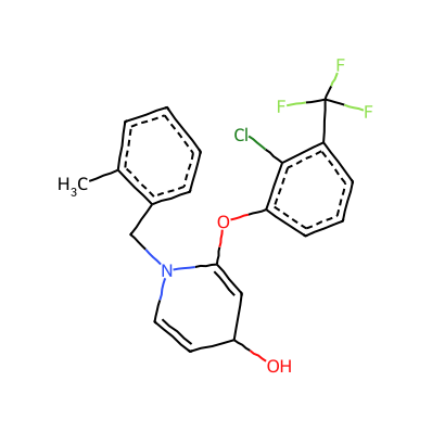 Cc1ccccc1CN1C=CC(O)C=C1Oc1cccc(C(F)(F)F)c1Cl